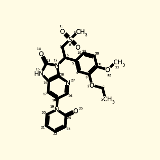 CCOc1cc(C(CS(C)(=O)=O)n2c(=O)[nH]c3cc(-n4ccccc4=O)cnc32)ccc1OC